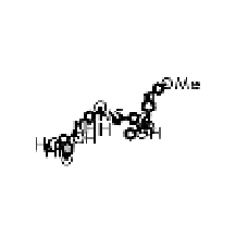 COc1ccc(CN2CCC(COC(=O)C(O)(c3ccccc3)c3cccc(-c4ccc(CNC(=O)c5ccc(CNCC(O)c6ccc(O)c7[nH]c(=O)ccc67)cc5)s4)c3)CC2)cc1